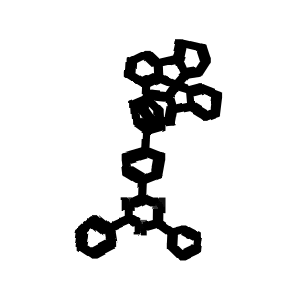 c1ccc(-c2nc(-c3ccccc3)nc(-c3ccc(-c4ccc(-c5cccc6c5C5(c7ccccc7-c7ccccc75)c5ccccc5-6)cc4)cc3)n2)cc1